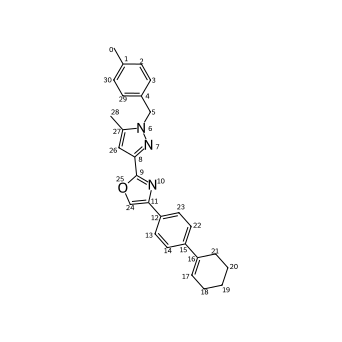 Cc1ccc(Cn2nc(-c3nc(-c4ccc(C5=CCCCC5)cc4)co3)cc2C)cc1